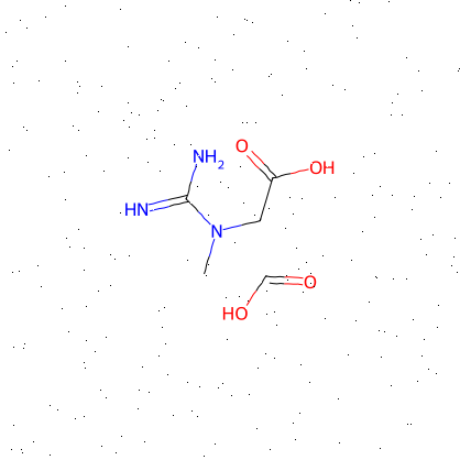 CN(CC(=O)O)C(=N)N.O=CO